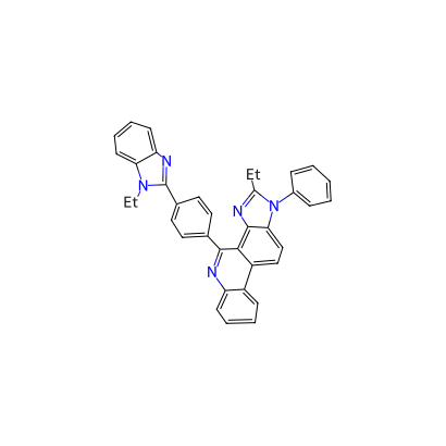 CCc1nc2c3c(-c4ccc(-c5nc6ccccc6n5CC)cc4)nc4ccccc4c3ccc2n1-c1ccccc1